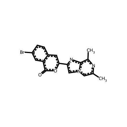 Cc1cn2cc(-c3cc4ccc(Br)cc4c(=O)o3)nc2c(C)n1